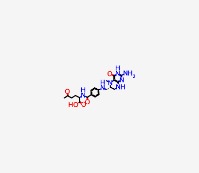 CC(=O)CCC(NC(=O)c1ccc(NC[C@H]2CNc3nc(N)[nH]c(=O)c3N2C)cc1)C(=O)O